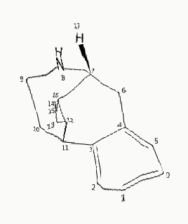 c1ccc2c(c1)C[C@H]1NCCC23CCCCC13